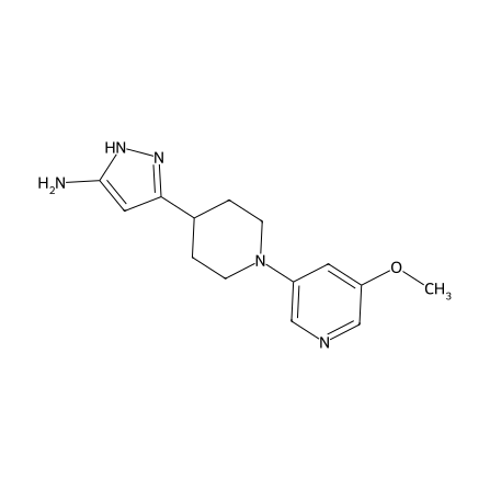 COc1cncc(N2CCC(c3cc(N)[nH]n3)CC2)c1